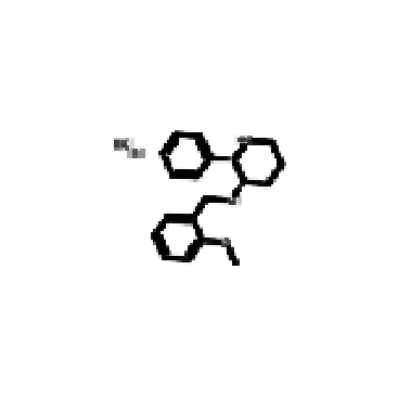 COc1ccccc1CN[C@@H]1CCCN[C@@H]1c1ccccc1.Cl.Cl